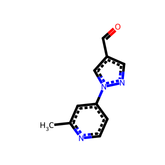 Cc1cc(-n2cc(C=O)cn2)ccn1